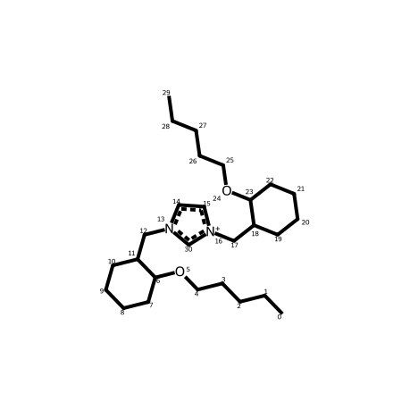 CCCCCOC1CCCCC1Cn1cc[n+](CC2CCCCC2OCCCCC)c1